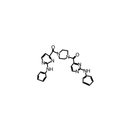 O=C(c1ccnc(Nc2ccccc2)n1)N1CCN(C(=O)c2ccnc(Nc3ccccc3)n2)CC1